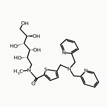 CN(C[C@H](O)[C@@H](O)[C@H](O)[C@H](O)CO)C(=O)c1ccc(CN(Cc2ccccn2)Cc2ccccn2)s1